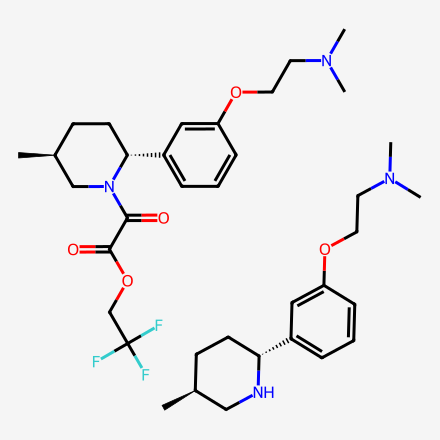 C[C@H]1CC[C@H](c2cccc(OCCN(C)C)c2)N(C(=O)C(=O)OCC(F)(F)F)C1.C[C@H]1CC[C@H](c2cccc(OCCN(C)C)c2)NC1